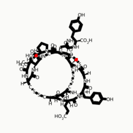 C[C@@H]1NC(=O)[C@@H]2CCCN2C(=O)[C@H](CC(N)=O)NC(=O)[C@@H]2CSSC[C@H](N)C(=O)N[C@H]3CSSC[C@H](NC1=O)C(=O)N[C@@H]([C@@H](C)O)C(=O)NCC(=O)N[C@H](C(=O)N[C@@H](Cc1ccc(O)cc1)C(=O)O)CSSC[C@H](NC(=O)[C@@H](Cc1ccc(O)cc1)NC(=O)[C@H](CCC(=O)O)NC3=O)C(=O)N2